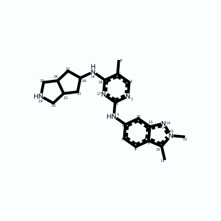 Cc1cnc(Nc2ccc3c(C)n(C)nc3c2)nc1NC1CC2CNCC2C1